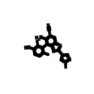 Cc1ccc(O)c(C)c1-c1c(N)c(C#N)cc2nc(-c3cnn(C)c3)oc12